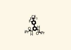 CC(C)C(=O)Nc1cc(NC(=O)C(C)C)cc(-c2ccc(C(F)(F)C(F)(F)F)c(F)c2)c1